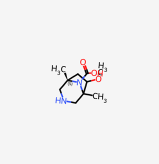 COC1C[C@@]2(C)CNCC1(C)N2C(=O)O